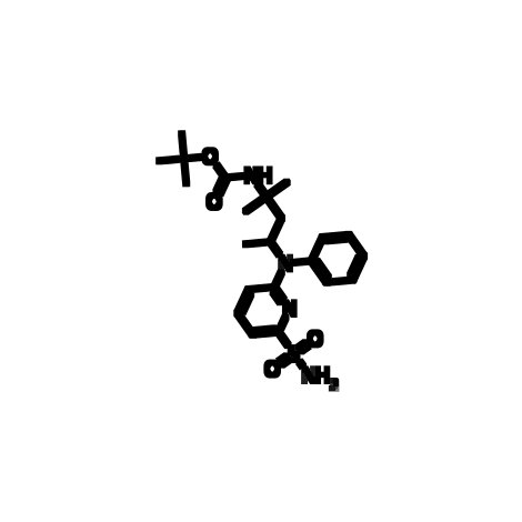 CC(CC(C)(C)NC(=O)OC(C)(C)C)N(c1ccccc1)c1cccc(S(N)(=O)=O)n1